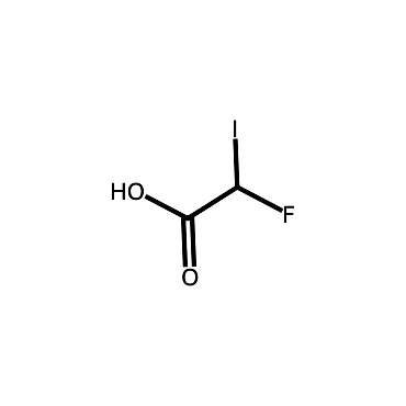 O=C(O)C(F)I